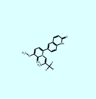 C=C1C(OC)=CC=C(c2ccc3[nH]c(=O)ccc3c2)N1/C=C(\N)C(F)(F)F